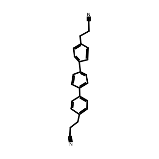 N#CCCc1ccc(-c2ccc(-c3ccc(CCC#N)cc3)cc2)cc1